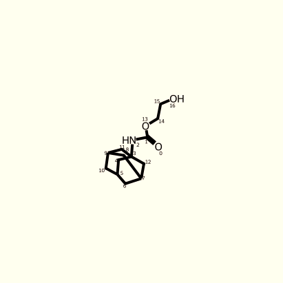 O=C(NC12CC3CC(CC(C3)C1)C2)OCCO